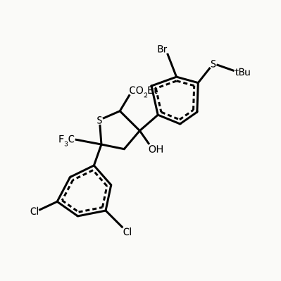 CCOC(=O)C1SC(c2cc(Cl)cc(Cl)c2)(C(F)(F)F)CC1(O)c1ccc(SC(C)(C)C)c(Br)c1